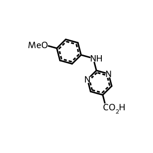 COc1ccc(Nc2ncc(C(=O)O)cn2)cc1